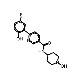 O=C(NC1CCN(O)CC1)c1ccc(-c2cc(F)ccc2O)nc1